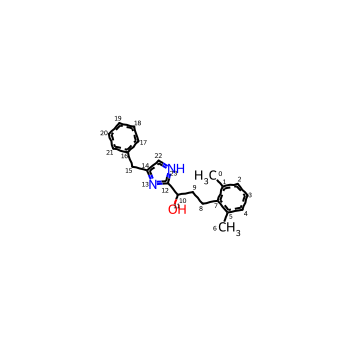 Cc1cccc(C)c1CCC(O)c1nc(Cc2ccccc2)c[nH]1